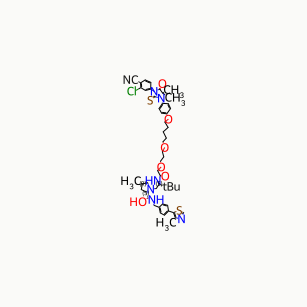 Cc1ncsc1-c1ccc(CNC(O)[C@@H]2C[C@@H](C)CN2C[C@@H](NC(=O)COCCCOCCCCCOc2ccc(N3C(=S)N(c4ccc(C#N)c(Cl)c4)C(=O)C3(C)C)cc2)C(C)(C)C)cc1